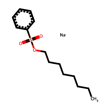 CCCCCCCCOS(=O)(=O)c1ccccc1.[Na]